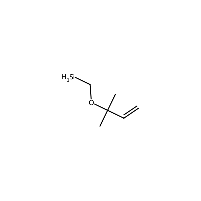 C=CC(C)(C)OC[SiH3]